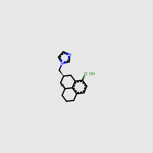 CC[C@@]12CCCc3ccc(Cl)c(c31)C[C@H](Cn1ccnc1)C2.Cl